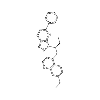 CC[C@@H](Oc1ccnc2cc(OC)ccc12)c1nnc2ccc(-c3ccccc3)nn12